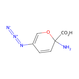 [N-]=[N+]=NC1=COC(N)(C(=O)O)C=C1